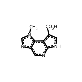 Cn1cnc2cnc3[nH]cc(C(=O)O)c3c21